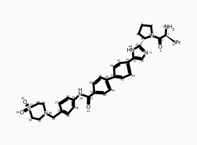 CC(C)[C@H](N)C(=O)N1CCC[C@H]1c1ncc(-c2ccc(-c3ccc(C(=O)Nc4ccc(CN5CCS(=O)(=O)CC5)cc4)cc3)cc2)[nH]1